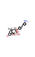 C[C@H]1C[C@H]2O[C@@H](c3ccc(/C=C/c4cccc(N)c4)cc3)O[C@@]2(C(=O)CO)CC[C@H](O)[C@@]2(F)[C@H]1CCC1=CC(=O)C=C[C@@]12C